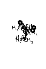 CNC(=O)[C@@H](Cc1ccccc1)N(C)C(=O)[C@@H](Cc1cccc2ccccc12)N(C)C(=O)C=CCC(C)(C)N